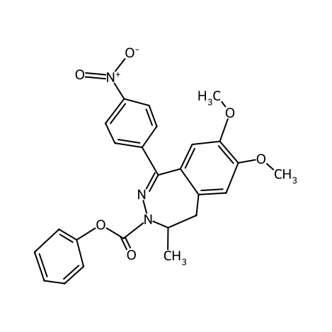 COc1cc2c(cc1OC)C(c1ccc([N+](=O)[O-])cc1)=NN(C(=O)Oc1ccccc1)C(C)C2